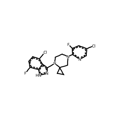 Fc1cc(Cl)cnc1N1CCN(c2n[nH]c3c(F)ccc(Cl)c23)C2(CC2)C1